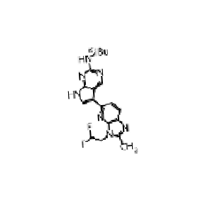 CC[C@H](C)Nc1ncc2c(-c3ccc4nc(C)n(CC(F)F)c4n3)c[nH]c2n1